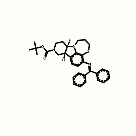 CC(C)(C)OC(=O)N1CC[C@H]2[C@@H](C1)c1ccc(N=C(c3ccccc3)c3ccccc3)c3c1N2CCCS3